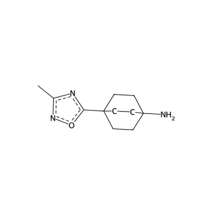 Cc1noc(C23CCC(N)(CC2)CC3)n1